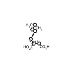 Cc1cccc(C)c1-c1cccc2c(C#Cc3ccnc(-c4cc(C(=O)O)cc(-c5cc(C(=O)O)ccn5)n4)c3)cccc12